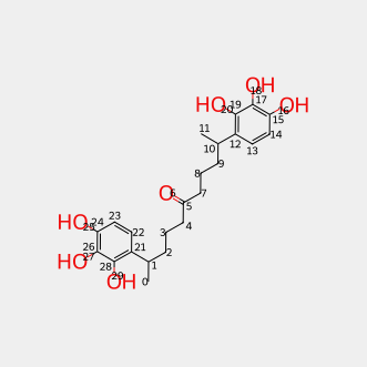 CC(CCCC(=O)CCCC(C)c1ccc(O)c(O)c1O)c1ccc(O)c(O)c1O